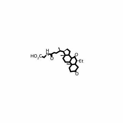 CC[C@H]1C(=O)C2C(CC[C@@]3(C)C2CC[C@@H]3[C@H](C)CCC(=O)NCC(=O)O)[C@@]2(C)CCC(=O)CC12